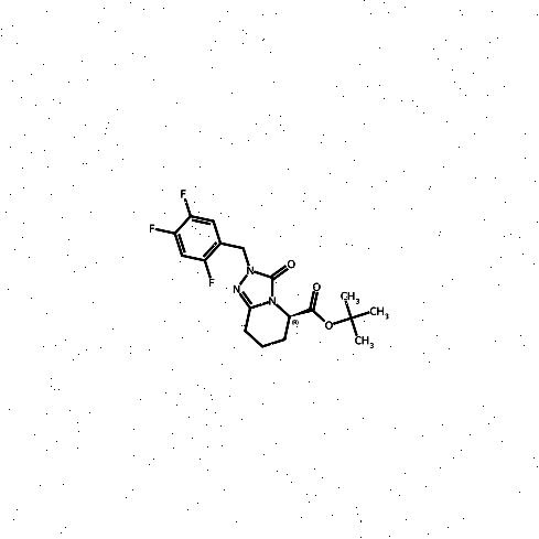 CC(C)(C)OC(=O)[C@H]1CCCc2nn(Cc3cc(F)c(F)cc3F)c(=O)n21